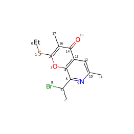 CCSc1oc2c(C(C)Br)nc(C)cc2c(=O)c1C